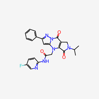 CC(C)N1Cc2c(n(CC(=O)Nc3ccc(F)cn3)c3cc(-c4ccccc4)nn3c2=O)C1=O